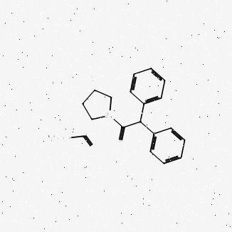 COC(=O)[C@@H]1C[C@H](S)CN1C(=O)C(c1ccccc1)c1ccccc1